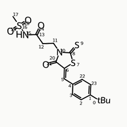 CC(C)(C)c1ccc(/C=C2\SC(=S)N(CCC(=O)NS(C)(=O)=O)C2=O)cc1